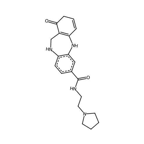 O=C1CC=CC2=C1CNc1ccc(C(=O)NCCN3CCCC3)cc1N2